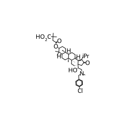 CC(C)C1=C2[C@H]3CC[C@@H]4[C@@]5(C)CC[C@H](OC(=O)CC(C)(C)C(=O)O)C(C)(C)[C@@H]5CC[C@@]4(C)[C@]3(C)CC[C@@]2([C@@H](O)CN(C)Cc2ccc(Cl)cc2)CC1=O